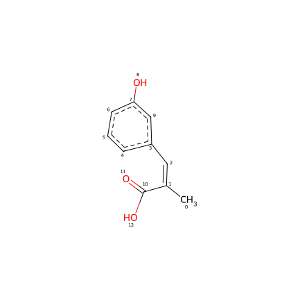 CC(=Cc1cccc(O)c1)C(=O)O